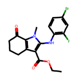 CCOC(=O)c1c2c(n(C)c1Nc1ccc(Br)cc1F)C(=O)CCC2